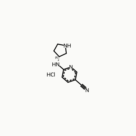 Cl.N#Cc1ccc(N[C@@H]2CCNC2)nc1